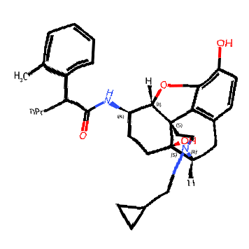 CCCC(C(=O)N[C@@H]1CC[C@@]2(O)[C@H]3Cc4ccc(O)c5c4[C@@]2(CCN3CC2CC2)[C@H]1O5)c1ccccc1C